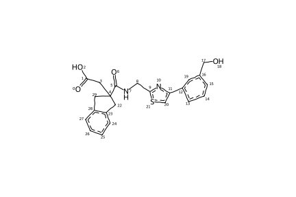 O=C(O)CC1(C(=O)NCc2nc(-c3cccc(CO)c3)cs2)Cc2ccccc2C1